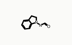 O=C[N]N1CCc2ccccc21